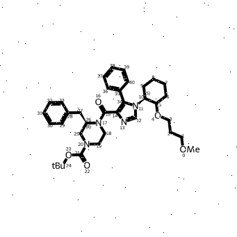 COCCCOC1CCCC[C@@H]1n1cnc(C(=O)N2CCN(C(=O)OC(C)(C)C)C[C@H]2Cc2ccccc2)c1-c1ccccc1